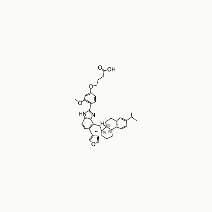 COc1cc(OCCCC(=O)O)ccc1-c1nc2c(C[C@@]3(C)CCC[C@]4(C)c5ccc(C(C)C)cc5CC[C@@H]34)c(-c3ccoc3)ccc2[nH]1